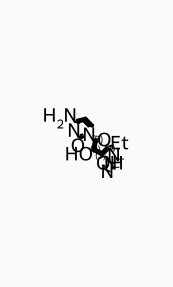 [CH2]C[C@@]1(N=[N+]=[N-])O[C@@H](n2ccc(N)nc2=O)[C@H](O)[C@@H]1O